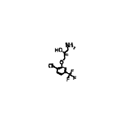 NC[C@@H](O)COc1cc(C(F)(F)F)ccc1Cl